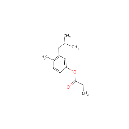 CCC(=O)Oc1ccc(C)c(CC(C)C)c1